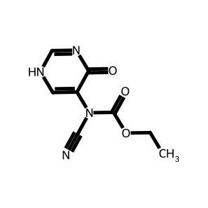 CCOC(=O)N(C#N)c1c[nH]cnc1=O